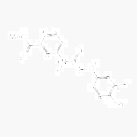 COC(=O)c1cccc(N(C)C(=O)COc2ccc(C(C)C)c(C)c2)c1